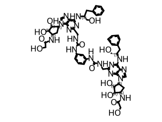 O=C(CO)N[C@H]1C[C@@H](n2cnc3c(N[C@H](CO)Cc4ccccc4)nc(CNC(=O)Nc4cccc(NC(=O)NCc5nc(N[C@H](CO)Cc6ccccc6)c6ncn([C@@H]7C[C@H](NC(=O)CO)[C@@H](O)[C@H]7O)c6n5)c4)nc32)[C@H](O)[C@@H]1O